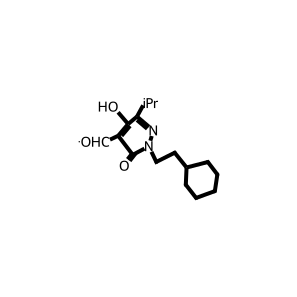 CC(C)c1nn(CCC2CCCCC2)c(=O)c([C]=O)c1O